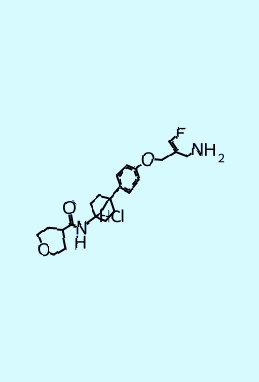 Cl.NCC(=CF)COc1ccc(C23CCC(NC(=O)C4CCOCC4)(CC2)CC3)cc1